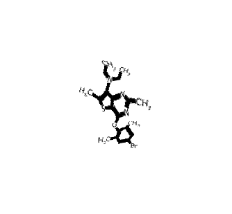 CCN(CC)c1c(C)sc2c(Oc3c(C)cc(Br)cc3C)nc(C)nc12